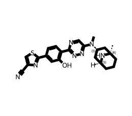 CN(c1cnc(-c2ccc(-c3nc(C#N)cs3)cc2O)nn1)[C@H]1C[C@@H]2CCC[C@](C)(C1)N2